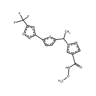 CONC(=O)c1cnn(C(C)c2ccc(-c3noc(C(F)(F)F)n3)s2)c1